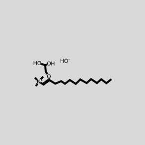 CCCCCCCCCCCCC(=C[N+](C)(C)C)OCC(O)O.[OH-]